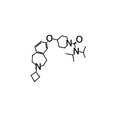 CC(C)N(C(=O)N1CCC(Oc2ccc3c(c2)CCN(C2CCC2)CC3)CC1)C(C)C